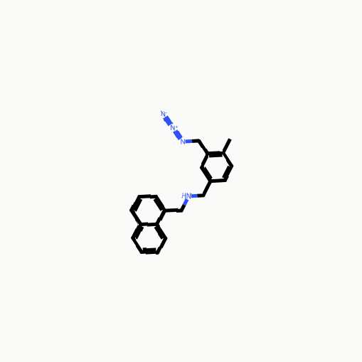 Cc1ccc(CNCc2cccc3ccccc23)cc1CN=[N+]=[N-]